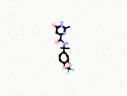 Cc1nc(C(=O)NC(C)(C)c2ccc3c(c2)OC(F)(F)O3)cc(=O)[nH]1